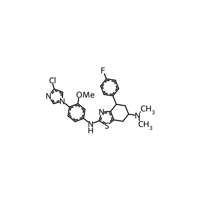 COc1cc(Nc2nc3c(s2)CC(N(C)C)CC3c2ccc(F)cc2)ccc1-n1cnc(Cl)c1